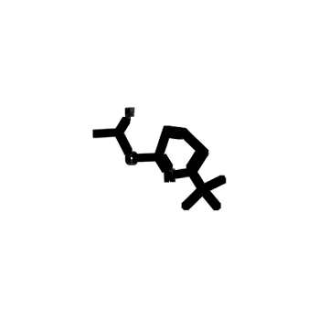 CC(F)Oc1cccc(C(C)(C)C)n1